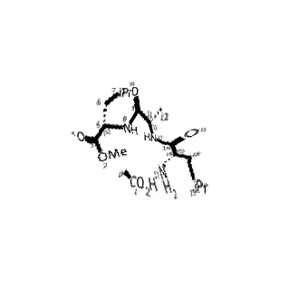 CC(=O)O.COC(=O)[C@H](CC(C)C)NC(=O)[C@H](C)NC(=O)[C@@H](N)CC(C)C